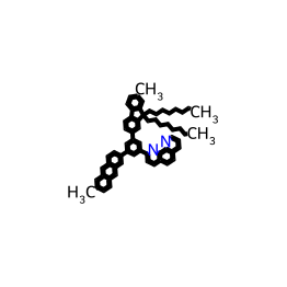 CCCCCCCCC1(CCCCCCCC)c2cc(C)ccc2-c2ccc(-c3cc(-c4ccc5cc6cc(C)ccc6cc5c4)cc(-c4ccc5ccc6cccnc6c5n4)c3)cc21